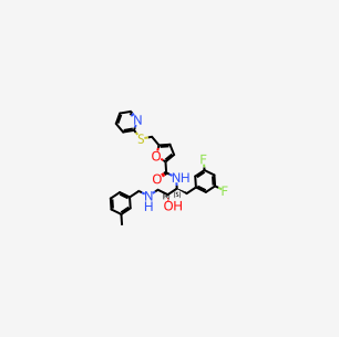 Cc1cccc(CNC[C@@H](O)[C@H](Cc2cc(F)cc(F)c2)NC(=O)c2ccc(CSc3ccccn3)o2)c1